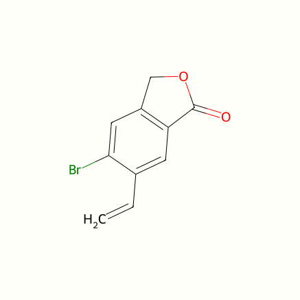 C=Cc1cc2c(cc1Br)COC2=O